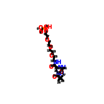 COP(=O)(O)OCCOCCOCCOCCNC(=O)[C@H](CNC(=O)C(C)(C)C)NC(C)=O